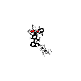 CC(C)(C)OC(=O)Nc1cc2c(-c3c(C(F)(F)F)cc4c(N5C[C@H]6CC[C@@H](C5)N6C(=O)OC(C)(C)C)nc(F)nc4c3F)cccc2s1